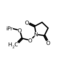 C=C(OC(C)C)ON1C(=O)CCC1=O